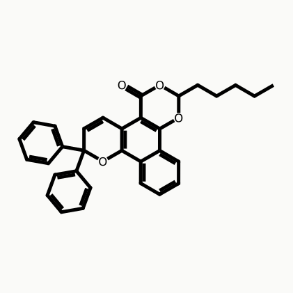 CCCCCC1OC(=O)c2c3c(c4ccccc4c2O1)OC(c1ccccc1)(c1ccccc1)C=C3